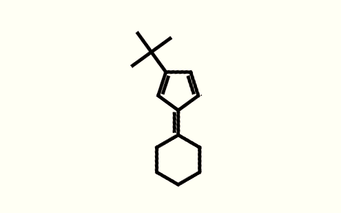 CC(C)(C)C1=CC(=C2CCCCC2)[C]=C1